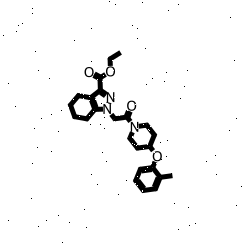 CCOC(=O)c1nn(CC(=O)N2CCC(Oc3ccccc3C)CC2)c2c1CCCC2